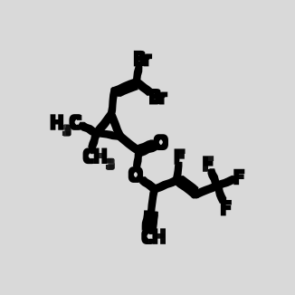 C#CC(OC(=O)C1C(C=C(Br)Br)C1(C)C)C(F)=CC(F)(F)F